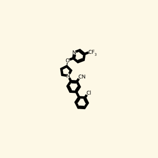 N#Cc1cc(-c2ccccc2Cl)ccc1N1CC[C@H](Oc2ccc(C(F)(F)F)cn2)C1